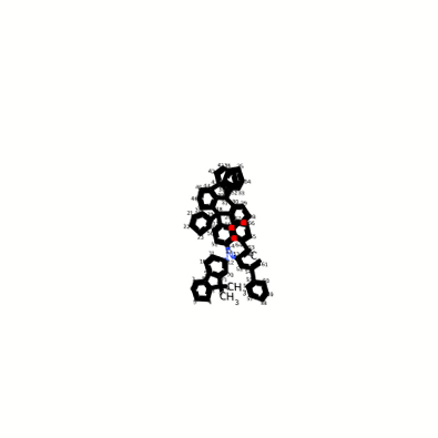 CC1(C)c2ccccc2-c2ccc(N(c3ccc(C4(c5ccccc5)c5ccccc5C5(c6ccccc6)c6ccccc6-c6cccc4c65)cc3)c3cc(-c4ccccc4)ccc3-c3ccccc3)cc21